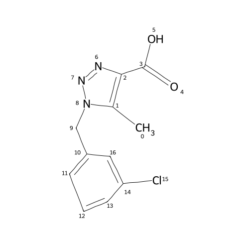 Cc1c(C(=O)O)nnn1Cc1cccc(Cl)c1